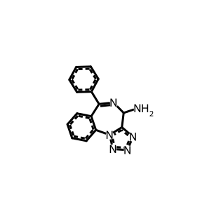 NC1N=C(c2ccccc2)c2ccccc2-n2nnnc21